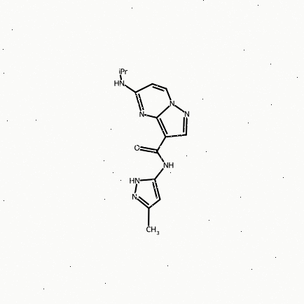 Cc1cc(NC(=O)c2cnn3ccc(NC(C)C)nc23)[nH]n1